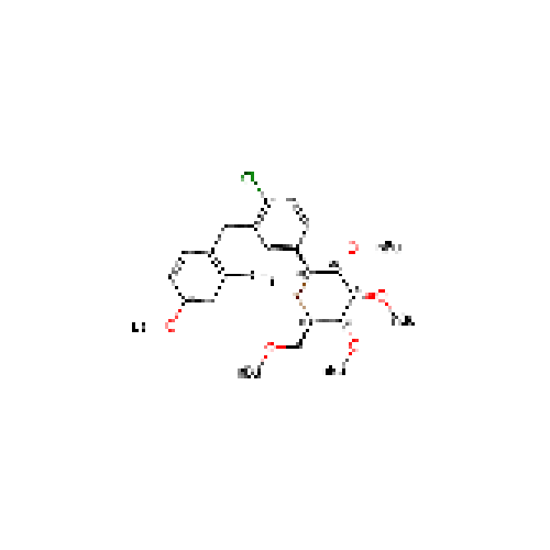 CCCCOC[C@H]1S[C@@H](c2ccc(Cl)c(Cc3ccc(OCC)cc3C)c2)[C@H](OCCCC)[C@@H](OCCCC)[C@@H]1OCCCC